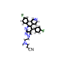 CN(CCC#N)CCn1cc2c(-c3ccc(F)cc3)c(-c3ccncc3)c(-c3ccc(F)cc3)nc2n1